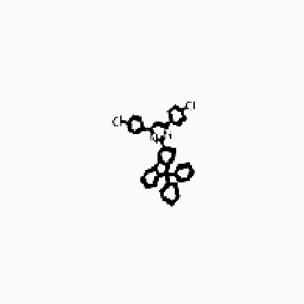 Clc1ccc(-c2cc(-c3ccc(Cl)cc3)nc(-c3ccc4c(c3)-c3ccccc3C4(c3ccccc3)c3ccccc3)n2)cc1